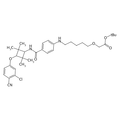 CC(C)(C)OC(=O)COCCCCCNc1ccc(C(=O)NC2C(C)(C)C(Oc3ccc(C#N)c(Cl)c3)C2(C)C)cc1